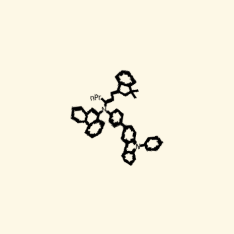 CCC/C(=C\C=C1/CC(C)(C)c2ccccc21)N(C1=CC2C=CC=CC2c2ccccc21)c1ccc(-c2ccc3c(c2)c2ccccc2n3-c2ccccc2)cc1